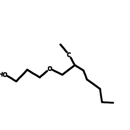 CCCCCC(CC)COCCCO